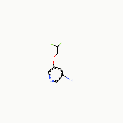 Nc1cncc(OCC(F)F)c1